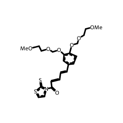 COCCOCOc1ccc(C=CC=CC(=O)n2ccsc2=S)cc1OCOCCOC